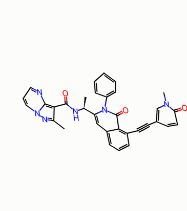 Cc1nn2cccnc2c1C(=O)N[C@@H](C)c1cc2cccc(C#Cc3ccc(=O)n(C)c3)c2c(=O)n1-c1ccccc1